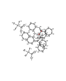 O=C([O-])C(F)(F)F.O=C([O-])C(F)(F)F.[Ru+2][C]1(P(c2ccccc2)c2ccccc2)C=Cc2ccccc2C1c1c(P(c2ccccc2)c2ccccc2)ccc2ccccc12